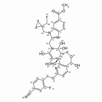 COC(=O)c1ccc2nc(CN3C(O)=C(O)[C@@]4(O)c5nc(OCc6ccc(C#N)cc6F)ccc5C(O)OC[C@]4(O)C3O)n(CC3(CF)CC3)c2c1